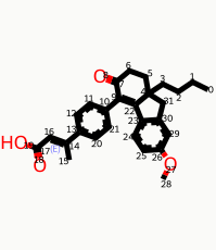 CCCCC12CCC(=O)C(c3ccc(/C(C)=C/C(=O)O)cc3)=C1c1ccc(OC)cc1C2